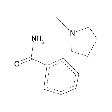 CN1CCCC1.NC(=O)c1ccccc1